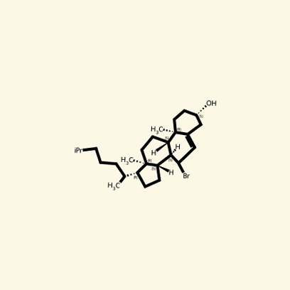 CC(C)CCCC(C)[C@H]1CC[C@H]2[C@@H]3C(Br)C=C4C[C@@H](O)CC[C@]4(C)[C@H]3CC[C@]12C